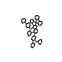 c1ccc(-c2ccc(N(c3ccccc3-c3ccccc3-c3ccc4c5ccccc5n(-c5ccccc5)c4c3)c3cccc4c3-c3ccccc3C43c4ccccc4-c4ccccc43)cc2)cc1